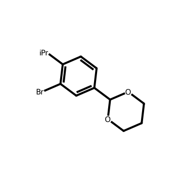 CC(C)c1ccc(C2OCCCO2)cc1Br